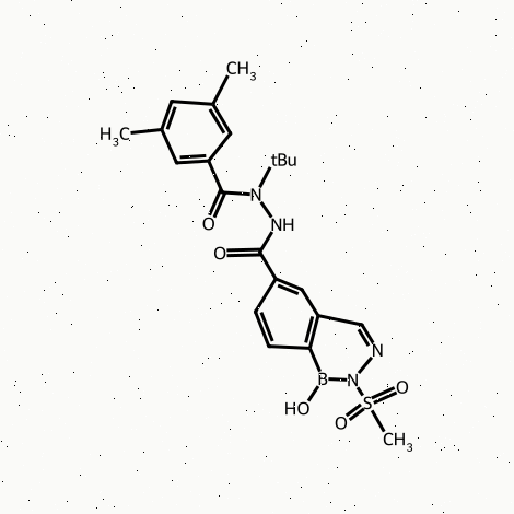 Cc1cc(C)cc(C(=O)N(NC(=O)c2ccc3c(c2)C=NN(S(C)(=O)=O)B3O)C(C)(C)C)c1